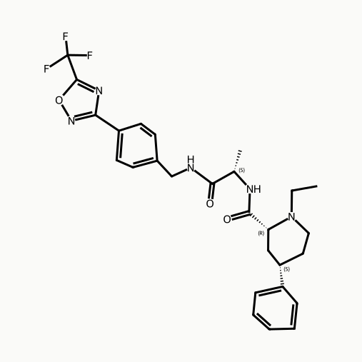 CCN1CC[C@H](c2ccccc2)C[C@@H]1C(=O)N[C@@H](C)C(=O)NCc1ccc(-c2noc(C(F)(F)F)n2)cc1